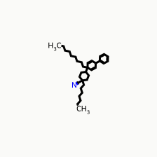 CCCCCCCCCC1(C2CCC(C#N)(CCCCCCC)CC2)C=CC(c2ccccc2)C=C1